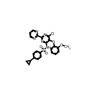 COc1ccccc1Oc1c(Cl)nc(-c2ncccn2)nc1NS(=O)(=O)c1ccc(C2CC2)cc1